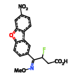 CO/N=C(\c1ccc2oc3cc([N+](=O)[O-])ccc3c2c1)C(F)CC(=O)O